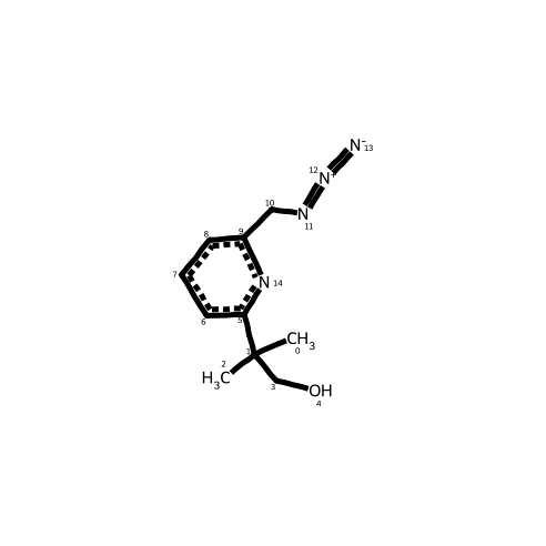 CC(C)(CO)c1cccc(CN=[N+]=[N-])n1